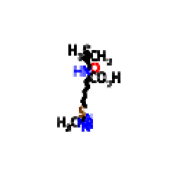 Cn1nnnc1SCCCCC/C=C(/NC(=O)C1CC1(C)C)C(=O)O